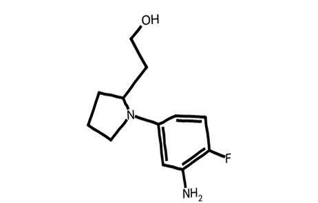 Nc1cc(N2CCCC2CCO)ccc1F